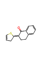 O=C1C(=C2CC=CS2)CCc2ccccc21